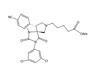 COC(=O)CCCCN1C[C@@H](c2ccc(C#N)cc2)[C@]2(C1)C(=O)N(c1cc(Cl)cc(Cl)c1)C(=O)N2C